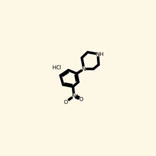 Cl.O=[N+]([O-])c1cccc(N2CCNCC2)c1